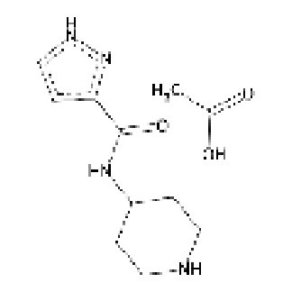 CC(=O)O.O=C(NC1CCNCC1)c1cc[nH]n1